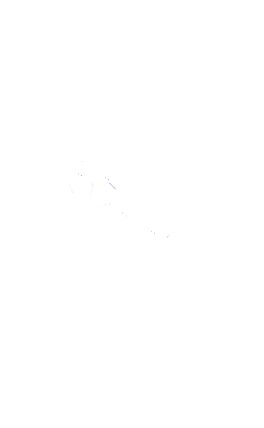 CC(C)(C)OC(=O)N1CCN(c2cnc3c(c2)c(I)cn3S)CCO1